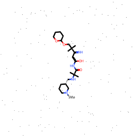 CSN1CCC[C@H](CNC(C)(C)C(=O)N/C(O)=C/C(=N)C(C)(C)COC2CCCCO2)C1